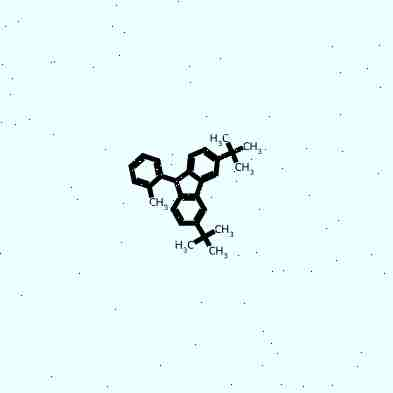 Cc1ccccc1C1c2ccc(C(C)(C)C)cc2-c2cc(C(C)(C)C)ccc21